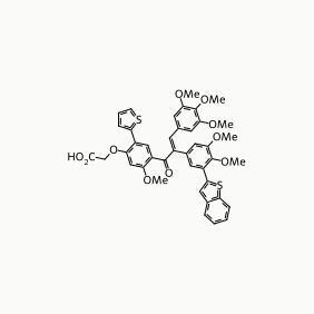 COc1cc(OCC(=O)O)c(-c2cccs2)cc1C(=O)C(=Cc1cc(OC)c(OC)c(OC)c1)c1cc(OC)c(OC)c(-c2cc3ccccc3s2)c1